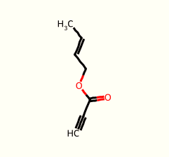 C#CC(=O)OC/C=C/C